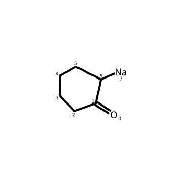 O=C1CCCC[CH]1[Na]